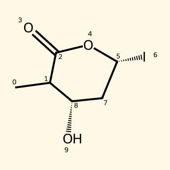 CC1C(=O)O[C@H](I)C[C@@H]1O